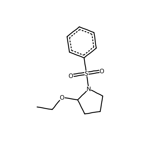 CCOC1CCCN1S(=O)(=O)c1ccccc1